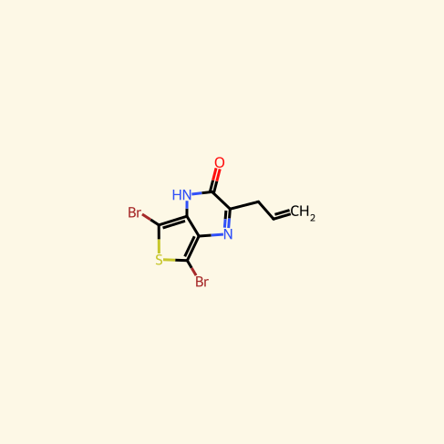 C=CCc1nc2c(Br)sc(Br)c2[nH]c1=O